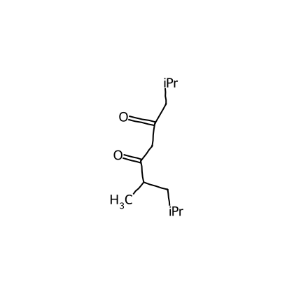 CC(C)CC(=O)CC(=O)C(C)CC(C)C